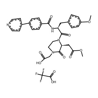 COC(=O)C[C@H]1C(=O)N(CC(=O)O)CCN1C(=O)[C@H](Cc1ccc(OC)cc1)NC(=O)c1ccc(-c2ccncc2)cc1.O=C(O)C(F)(F)F